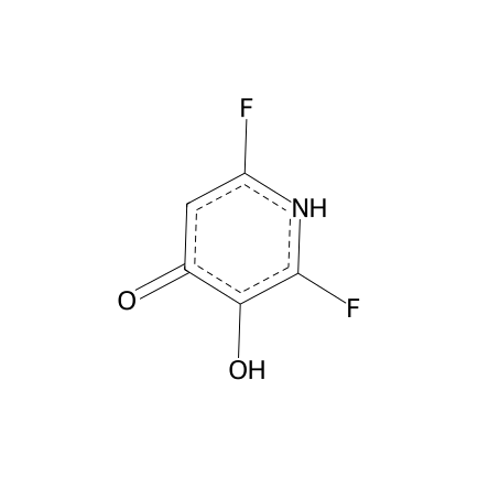 O=c1cc(F)[nH]c(F)c1O